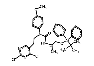 COc1ccc(N(CCc2cnc(Cl)nc2Cl)C(=O)N[C@H](C)CO[Si](c2ccccc2)(c2ccccc2)C(C)(C)C)cc1